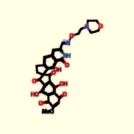 COC1=CC(=O)c2c(O)c3c(c(O)c2C1=O)C(=O)C1(CCc2cc4cc(/C=N/OCCN5CCOCC5)[nH]c(=O)c4c(O)c21)C3=O